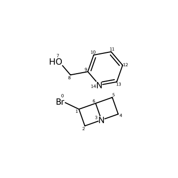 BrC1CN2CCC12.OCc1ccccn1